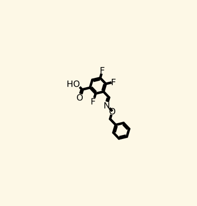 O=C(O)c1cc(F)c(F)c(C=NOCc2ccccc2)c1F